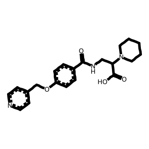 O=C(NCC(C(=O)O)N1CCCCC1)c1ccc(OCc2ccncc2)cc1